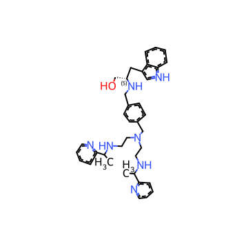 CC(NCCN(CCNC(C)c1ccccn1)Cc1ccc(CN[C@H](CO)Cc2c[nH]c3ccccc23)cc1)c1ccccn1